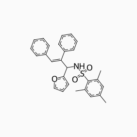 Cc1cc(C)c(S(=O)(=O)NC(C(=Cc2ccccc2)c2ccccc2)c2ccco2)c(C)c1